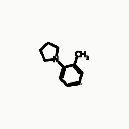 Cc1c[c]ccc1N1CCCC1